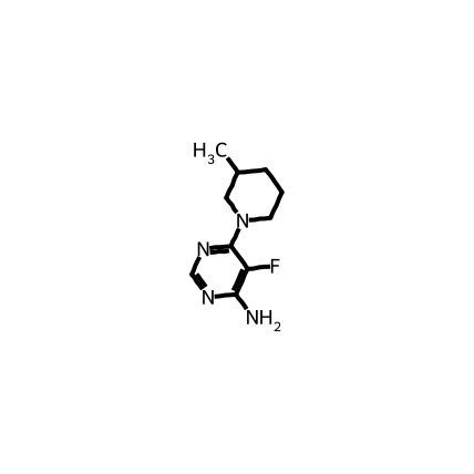 CC1CCCN(c2ncnc(N)c2F)C1